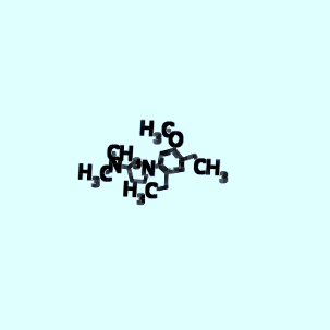 CCc1cc(CC)c(N2CCC(N(C)C)C2)cc1OC